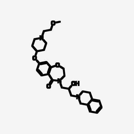 COCCN1CCC(Oc2ccc3c(c2)OCCN(CC(O)CN2CCc4ccccc4C2)C3=O)CC1